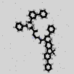 C=C(/C=C\C=C(/C)c1cc(-c2ccccc2)nc2cc3c(cc12)-c1ccc(-c2ccccc2)cc1C3(C)C)c1nc(-c2ccccc2)nc(-c2cccc(-c3ccccc3)c2)n1